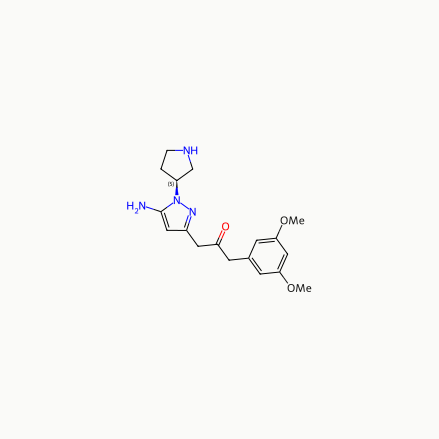 COc1cc(CC(=O)Cc2cc(N)n([C@H]3CCNC3)n2)cc(OC)c1